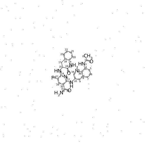 CC(=O)Nc1cccc2cc(Nc3nc(NC(Cc4ccccc4)C(N)=O)c(F)cc3C(N)=O)cnc12